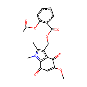 COC1=CC(=O)c2c(c(COC(=O)c3ccccc3OC(C)=O)c(C)n2C)C1=O